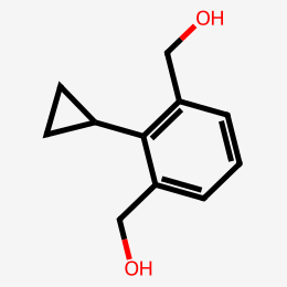 OCc1cccc(CO)c1C1CC1